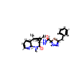 CN1C(=O)[C@@]2(NC(=O)c3nnc(Cc4ccccc4)s3)C3[C@@H](c4cccnc41)[C@H]32